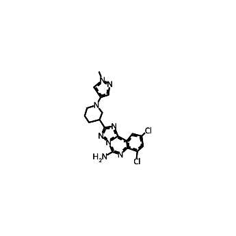 Cn1cc(N2CCCC(c3nc4c5cc(Cl)cc(Cl)c5nc(N)n4n3)C2)cn1